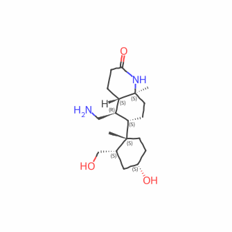 C[C@@]1([C@H]2CC[C@]3(C)NC(=O)CC[C@H]3[C@@H]2CN)CC[C@H](O)C[C@@H]1CO